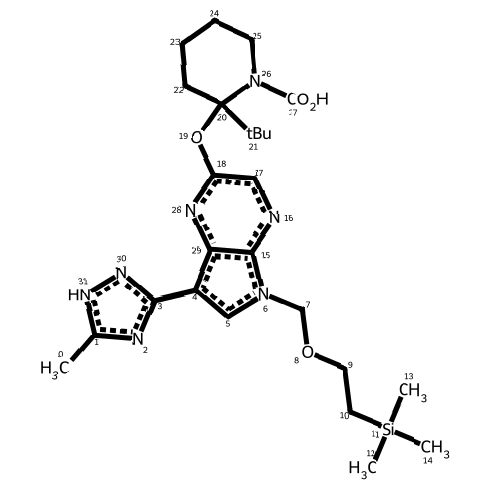 Cc1nc(-c2cn(COCC[Si](C)(C)C)c3ncc(OC4(C(C)(C)C)CCCCN4C(=O)O)nc23)n[nH]1